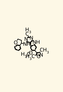 COc1cc2c(cc1-c1c(C)noc1C)[nH]c1nc(C)nc(NC3CCOc4ccccc43)c12